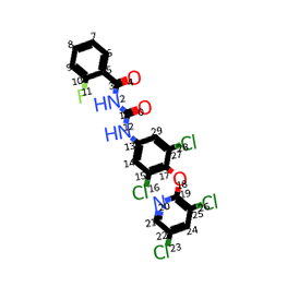 O=C(NC(=O)c1ccccc1F)Nc1cc(Cl)c(Oc2ncc(Cl)cc2Cl)c(Cl)c1